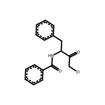 O=C(NC(Cc1ccccc1)C(=O)CCl)c1ccccc1